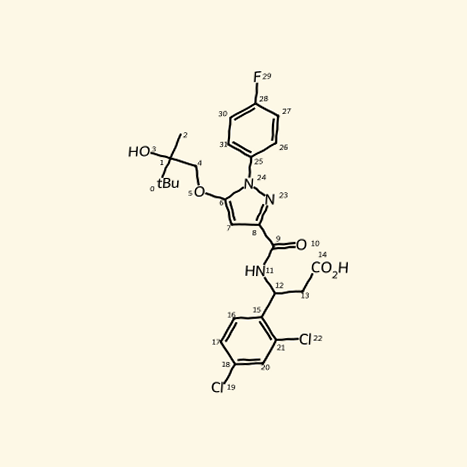 CC(C)(C)C(C)(O)COc1cc(C(=O)NC(CC(=O)O)c2ccc(Cl)cc2Cl)nn1-c1ccc(F)cc1